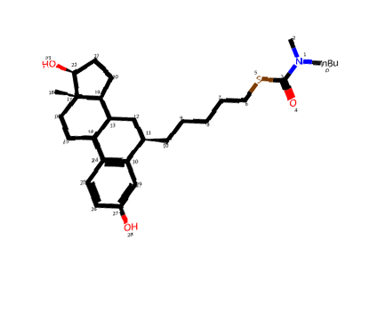 CCCCN(C)C(=O)SCCCCC[C@@H]1CC2C(CC[C@@]3(C)C2CC[C@@H]3O)c2ccc(O)cc21